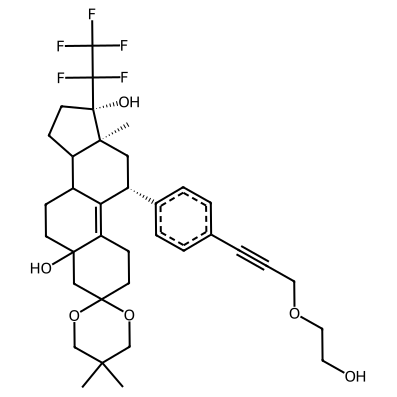 CC1(C)COC2(CCC3=C4C(CCC3(O)C2)C2CC[C@@](O)(C(F)(F)C(F)(F)F)[C@@]2(C)C[C@@H]4c2ccc(C#CCOCCO)cc2)OC1